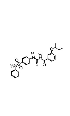 CCC(C)Oc1cccc(C(=O)NC(=S)Nc2ccc(S(=O)(=O)Nc3ccccc3)cc2)c1